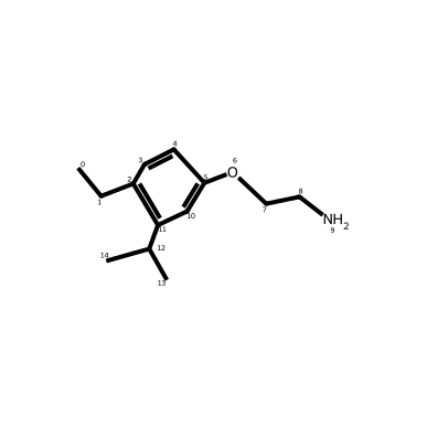 CCc1ccc(OCCN)cc1C(C)C